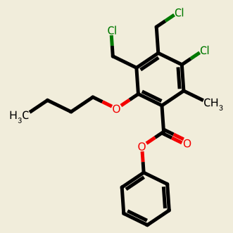 CCCCOc1c(CCl)c(CCl)c(Cl)c(C)c1C(=O)Oc1ccccc1